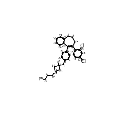 CC1(Cc2ccc(C3=C(c4ccc(Cl)cc4Cl)CCCc4ccccc43)cc2)CN(CCCF)C1